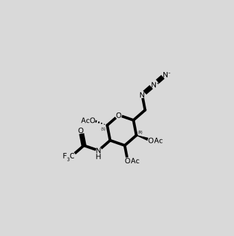 CC(=O)OC1C(NC(=O)C(F)(F)F)[C@H](OC(C)=O)OC(CN=[N+]=[N-])[C@H]1OC(C)=O